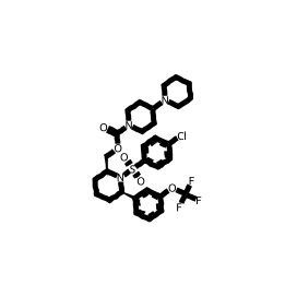 O=C(OC[C@@H]1CCC[C@H](c2cccc(OC(F)(F)F)c2)N1S(=O)(=O)c1ccc(Cl)cc1)N1CCC(N2CCCCC2)CC1